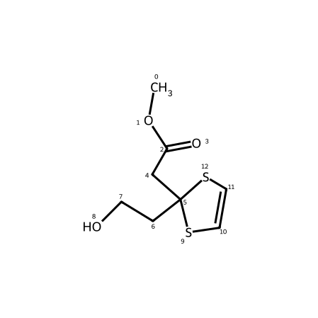 COC(=O)CC1(CCO)SC=CS1